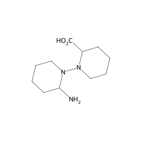 NC1CCCCN1N1CCCCC1C(=O)O